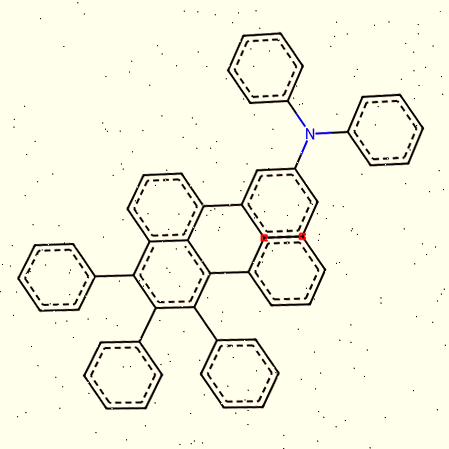 c1ccc(-c2c(-c3ccccc3)c(-c3ccccc3)c3c(-c4cccc(N(c5ccccc5)c5ccccc5)c4)cccc3c2-c2ccccc2)cc1